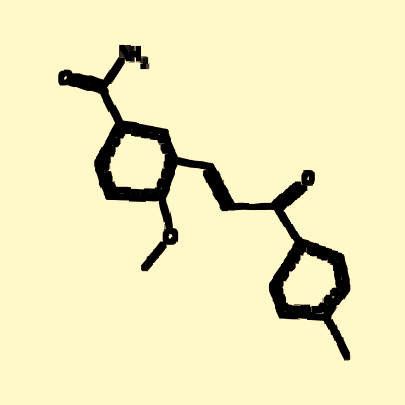 COc1ccc(C(N)=O)cc1/C=C/C(=O)c1ccc(C)cc1